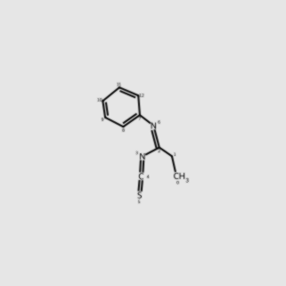 CCC(N=C=S)=Nc1ccccc1